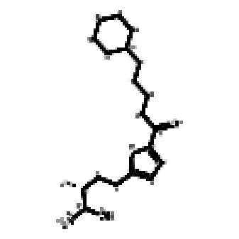 C[C@H](CCc1ccc(C(=O)CCCCC2CCCCC2)s1)C(N)O